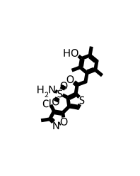 Cc1cc(C)c(CC(=O)c2scc(-c3onc(C)c3Cl)c2S(N)(=O)=O)c(C)c1O